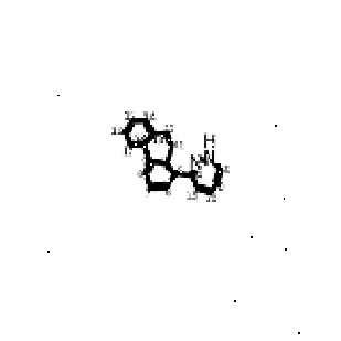 C1=CNN=C(c2cccc3c2ccc2ccccc23)C=C1